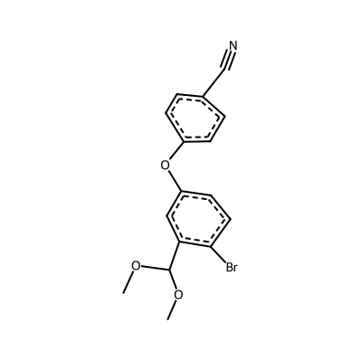 COC(OC)c1cc(Oc2ccc(C#N)cc2)ccc1Br